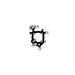 CCCCCCOC(C)c1c(C)c2cc3nc(c4c5[nH]c(cc6nc(cc1[nH]2)C(C)=C6CC)cc5C(=O)C4)[C@@H](CCC)C3